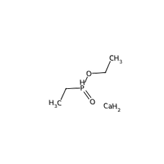 CCO[PH](=O)CC.[CaH2]